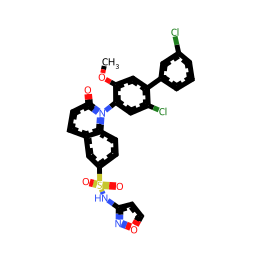 COc1cc(-c2cccc(Cl)c2)c(Cl)cc1-n1c(=O)ccc2cc(S(=O)(=O)Nc3ccon3)ccc21